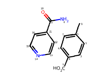 Cc1ccc(C(=O)O)cc1.NC(=O)c1ccncc1